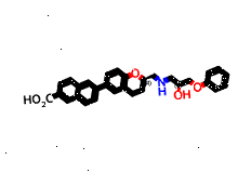 O=C(O)c1ccc2cc(-c3ccc4c(c3)CC[C@H](CNC[C@H](O)COc3ccccc3)O4)ccc2c1